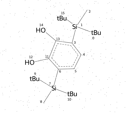 CC(C)(C)[Si](C)(c1ccc([Si](C)(C(C)(C)C)C(C)(C)C)c(O)c1O)C(C)(C)C